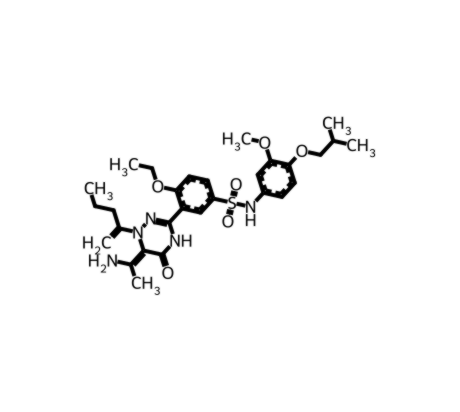 C=C(CCC)N1N=C(c2cc(S(=O)(=O)Nc3ccc(OCC(C)C)c(OC)c3)ccc2OCC)NC(=O)/C1=C(\C)N